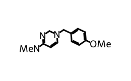 CNC1=NCN(Cc2ccc(OC)cc2)C=C1